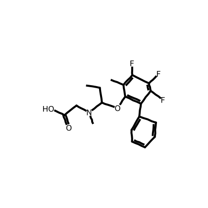 CCC(Oc1c(C)c(F)c(F)c(F)c1-c1ccccc1)N(C)CC(=O)O